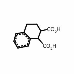 O=C(O)C1CCc2ccccc2C1C(=O)O